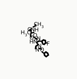 CCCNC(=O)C1(C)COC(c2nc(-c3ccc(F)cc3)c(-c3ccnc(OCc4ccccc4)n3)[nH]2)OC1